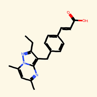 CCc1nn2c(C)cc(C)nc2c1Cc1ccc(C=CC(=O)O)cc1